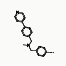 [CH2]c1ccc(CN(C)Cc2ccc(-c3ccncc3)cc2)cc1